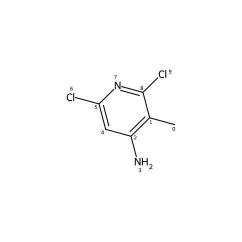 Cc1c(N)cc(Cl)nc1Cl